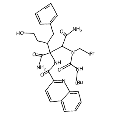 CC(C)CN(C(=O)NC(C)(C)C)C(C(N)=O)C(NC(=O)c1ccc2ccccc2n1)(C(N)=O)C(CCO)Cc1ccccc1